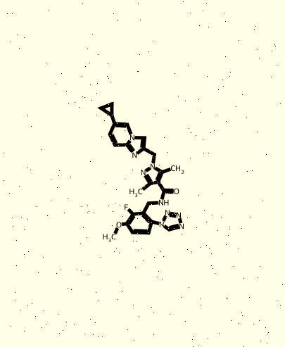 COc1ccc(-n2cnnn2)c(CNC(=O)c2c(C)nn(Cc3cn4cc(C5CC5)ccc4n3)c2C)c1F